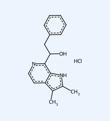 Cc1[nH]c2c(C(O)Cc3ccccc3)nccc2c1C.Cl